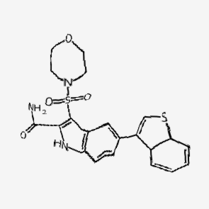 NC(=O)c1[nH]c2ccc(C3=CSC4C=CC=CC34)cc2c1S(=O)(=O)N1CCOCC1